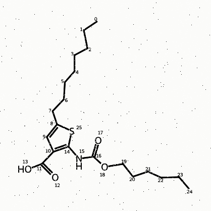 CCCCCCCCc1cc(C(=O)O)c(NC(=O)OCCCCCC)s1